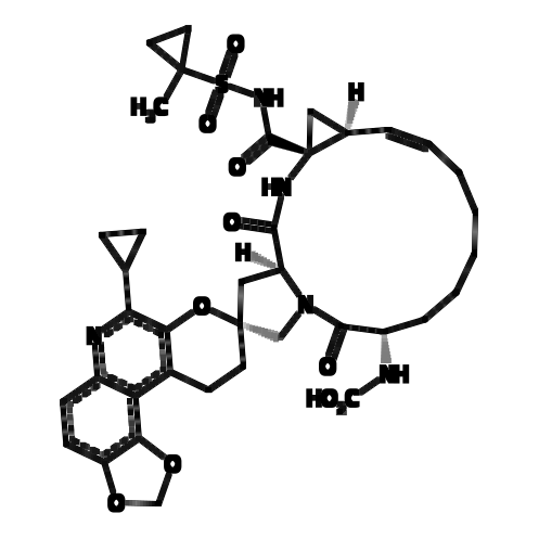 CC1(S(=O)(=O)NC(=O)[C@@]23C[C@H]2C=CCCCCC[C@H](NC(=O)O)C(=O)N2C[C@@]4(CCc5c(c(C6CC6)nc6ccc7c(c56)OCO7)O4)C[C@H]2C(=O)N3)CC1